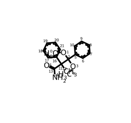 COC(OC)(c1ccccc1)C(C)(C(N)=O)c1ccccc1